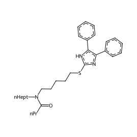 CCCCCCCN(CCCCCSc1nc(-c2ccccc2)c(-c2ccccc2)[nH]1)C(=O)CCC